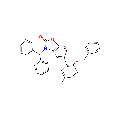 Cc1ccc(OCc2ccccc2)c(-c2ccc3oc(=O)n(C(c4ccccc4)c4ccccc4)c3c2)c1